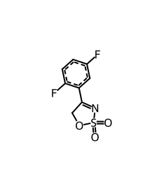 O=S1(=O)N=C(c2cc(F)ccc2F)CO1